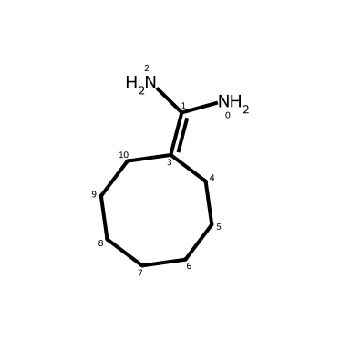 NC(N)=C1CCCCCCC1